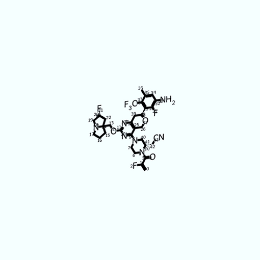 C=C(F)C(=O)N1CCN(c2nc(OCC34CCCN3C[C@H](F)C4)nc3c2CO[C@H](c2c(F)c(N)cc(C)c2C(F)(F)F)C3)C[C@@H]1CC#N